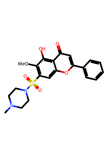 COc1c(S(=O)(=O)N2CCN(C)CC2)cc2oc(-c3ccccc3)cc(=O)c2c1O